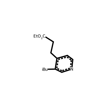 CCOC(=O)CCc1ccncc1C(C)CC